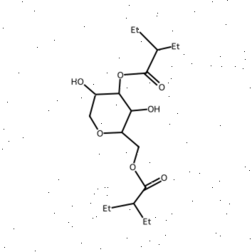 CCC(CC)C(=O)OCC1OCC(O)C(OC(=O)C(CC)CC)C1O